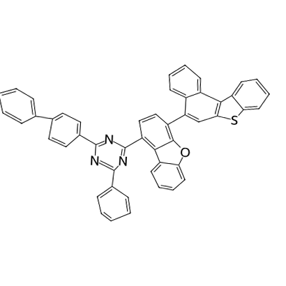 c1ccc(-c2ccc(-c3nc(-c4ccccc4)nc(-c4ccc(-c5cc6sc7ccccc7c6c6ccccc56)c5oc6ccccc6c45)n3)cc2)cc1